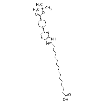 CC(C)(C)OC(=O)N1CCN(c2ccc3nc(CCCCCCCCCCCCCCC(=O)O)[nH]c3n2)CC1